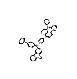 C1=C2c3c(ccc(-c4ccc(N(c5ccc(-c6ccccc6)cc5)c5ccc6oc7ccccc7c6c5)cc4)c3CC1)-c1ccccc1N2c1ccccc1